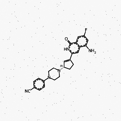 N#Cc1ccc(N2CCN([C@@H]3C=C(c4cc5c(N)cc(F)cc5c(=O)[nH]4)CC3)CC2)cc1